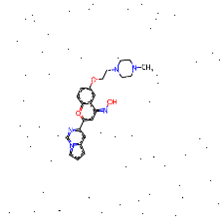 CN1CCN(CCOc2ccc3oc(-c4cc5cccn5cn4)c/c(=N/O)c3c2)CC1